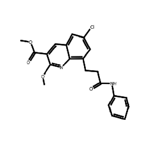 COC(=O)c1cc2cc(Cl)cc(CCC(=O)Nc3ccccc3)c2nc1OC